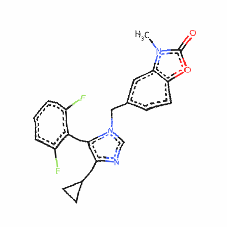 Cn1c(=O)oc2ccc(Cn3cnc(C4CC4)c3-c3c(F)cccc3F)cc21